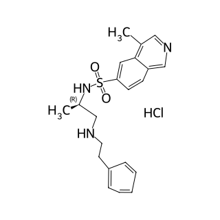 Cc1cncc2ccc(S(=O)(=O)N[C@H](C)CNCCc3ccccc3)cc12.Cl